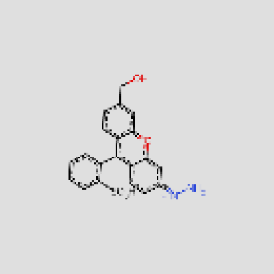 N/N=c1/ccc2c(-c3ccccc3S(=O)(=O)O)c3ccc(CO)cc3oc-2c1